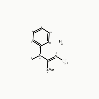 CSC(=NC(F)(F)F)N(C)c1ccccc1.I